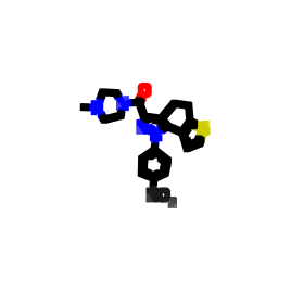 CN1CCN(C(=O)c2nn(-c3ccc([N+](=O)[O-])cc3)c3c2CCc2sccc2-3)CC1